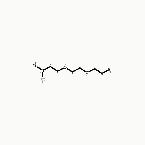 CCN(CC)CCOCCOCCBr